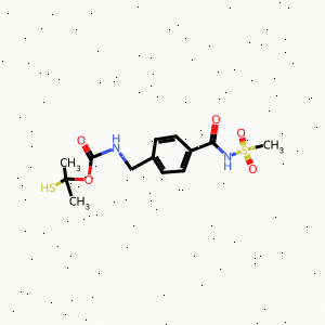 CC(C)(S)OC(=O)NCc1ccc(C(=O)NS(C)(=O)=O)cc1